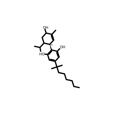 CCCCCCC(C)(C)c1cc(O)c([C@@H]2C=C(C)C(O)CC2C(C)C)c(O)c1